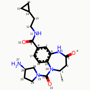 C[C@H]1CC(=O)Nc2cc(C(=O)NCCC3CC3)ccc2N1C(=O)N1CC[C@@H](N)C1